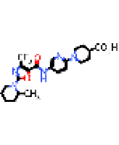 CC1CCCCN1c1nc(C(F)(F)F)c(C(=O)Nc2ccc(N3CCC(C(=O)O)CC3)nc2)o1